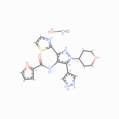 O=C(Nc1c(-c2nccs2)nn(C2CCOCC2)c1-c1cn[nH]c1)c1ccco1.O=CO